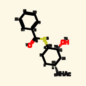 CC(=O)N[C@@H]1CC[C@@H](SC(=O)c2ccccc2)[C@H](O)C1